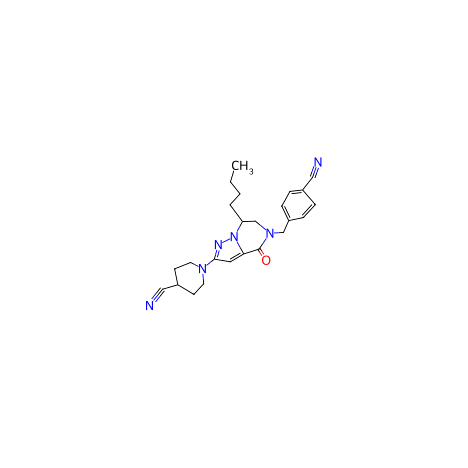 CCCCC1CN(Cc2ccc(C#N)cc2)C(=O)c2cc(N3CCC(C#N)CC3)nn21